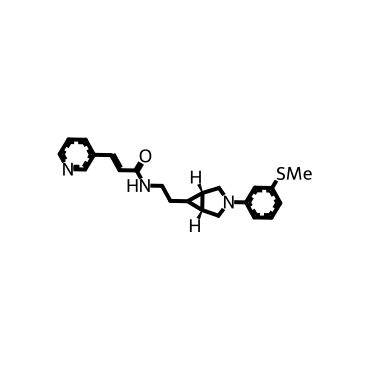 CSc1cccc(N2C[C@@H]3C(CCNC(=O)/C=C/c4cccnc4)[C@@H]3C2)c1